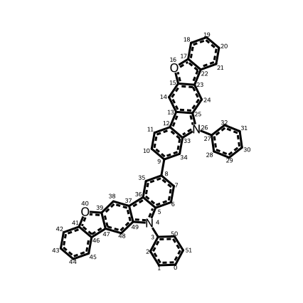 c1ccc(-n2c3ccc(-c4ccc5c6cc7oc8ccccc8c7cc6n(-c6ccccc6)c5c4)cc3c3cc4oc5ccccc5c4cc32)cc1